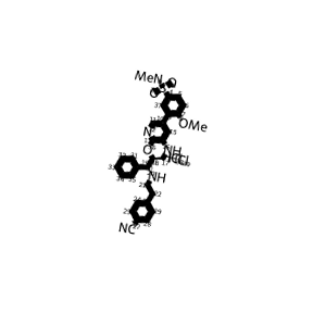 CNS(=O)(=O)c1ccc(OC)c(-c2cnc3c(c2)NC[C@@H]([C@H](NCCc2ccc(C#N)cc2)c2ccccc2)O3)c1.Cl.Cl